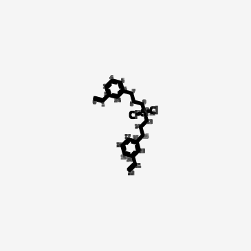 C=Cc1cccc(CCC[Si](Cl)(Cl)CCCc2cccc(C=C)c2)c1